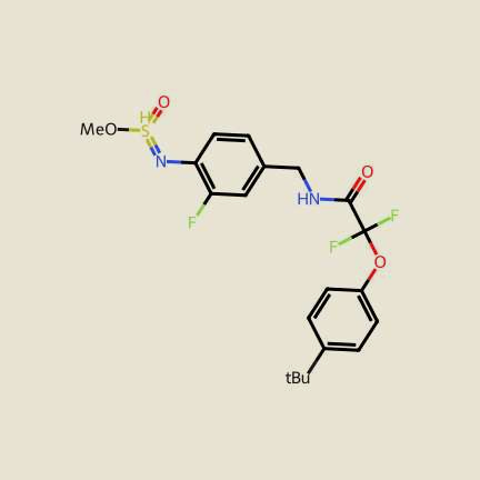 CO[SH](=O)=Nc1ccc(CNC(=O)C(F)(F)Oc2ccc(C(C)(C)C)cc2)cc1F